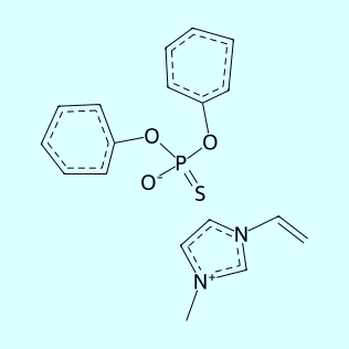 C=Cn1cc[n+](C)c1.[O-]P(=S)(Oc1ccccc1)Oc1ccccc1